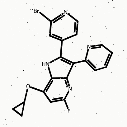 Fc1cc(OC2CC2)c2[nH]c(-c3ccnc(Br)c3)c(-c3ccccn3)c2n1